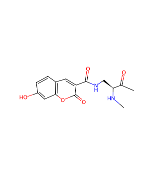 CN[C@@H](CNC(=O)c1cc2ccc(O)cc2oc1=O)C(C)=O